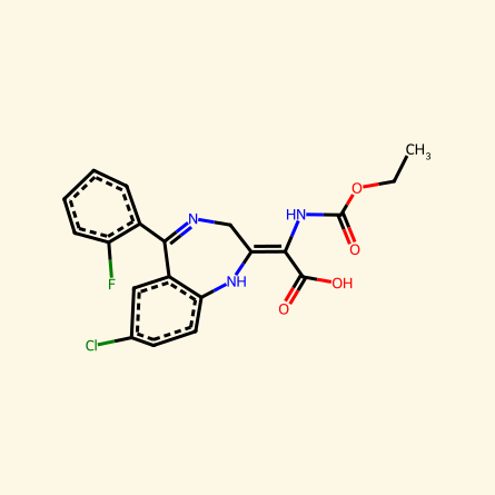 CCOC(=O)N/C(C(=O)O)=C1\CN=C(c2ccccc2F)c2cc(Cl)ccc2N1